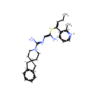 CC/C=C(/S/C(N)=C/N=C(\N)N1CCC2(CC1)Cc1ccccc1C2)c1cccnc1C